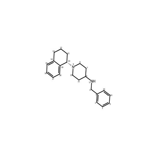 c1ccc(CNC2CCN([C@H]3CCCc4ccccc43)CC2)cc1